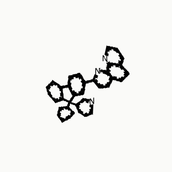 c1ccc(C2(c3cccnc3)c3ccccc3-c3ccc(-c4ccc5ccc6cccnc6c5n4)cc32)cc1